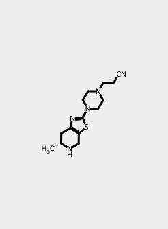 C[C@@H]1Cc2nc(N3CCN(CCC#N)CC3)sc2CN1